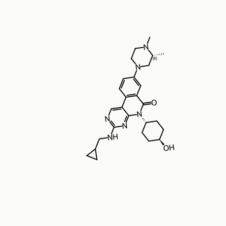 C[C@@H]1CN(c2ccc3c(c2)c(=O)n([C@H]2CC[C@H](O)CC2)c2nc(NCC4CC4)ncc32)CCN1C